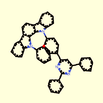 c1ccc(-c2cc(-c3ccc(-n4c5ccccc5c5ccc6c7ccccc7n(-c7ccccc7)c6c54)cc3)nc(-c3ccccc3)n2)cc1